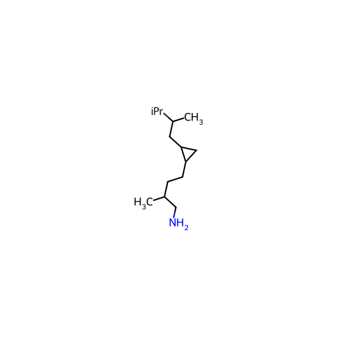 CC(CN)CCC1CC1CC(C)C(C)C